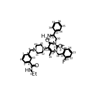 CCNC(=O)c1cccc(CN2CCN(c3c(C)n(Cc4c(F)cccc4C(F)(F)F)c(=O)n(CC(N)c4ccccc4)c3=O)CC2)c1